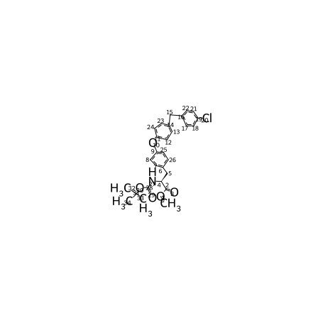 COC(=O)[C@H](Cc1ccc(Oc2ccc(Cc3ccc(Cl)cc3)cc2)cc1)NC(=O)OC(C)(C)C